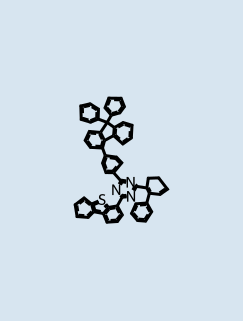 C1=CC(c2ccccc2)=C(c2nc(-c3ccc(-c4cccc5c4-c4ccccc4C5(c4ccccc4)c4ccccc4)cc3)nc(-c3cccc4c3sc3ccccc34)n2)CC1